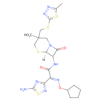 Cc1nnc(SCC2(C(=O)O)CS[C@@H]3C(NC(=O)C(=NOC4CCCC4)c4nsc(N)n4)C(=O)N3C2)s1